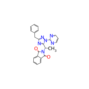 CC(c1nc(Cc2ccccc2)nn1-c1ncccn1)N1C(=O)c2ccccc2C1=O